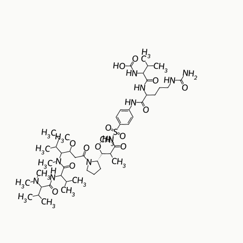 CCC(C)C(C(CC(=O)N1CCC[C@H]1C(OC)C(C)C(=O)NS(=O)(=O)c1ccc(NC(=O)C(CCCNC(N)=O)NC(=O)C(NC(=O)O)C(C)C)cc1)OC)N(C)C(=O)C(NC(=O)C(C(C)C)N(C)C)C(C)C